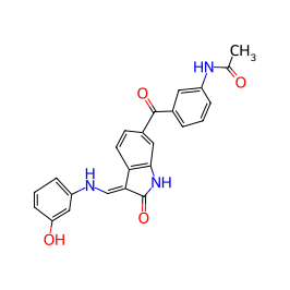 CC(=O)Nc1cccc(C(=O)c2ccc3c(c2)NC(=O)/C3=C/Nc2cccc(O)c2)c1